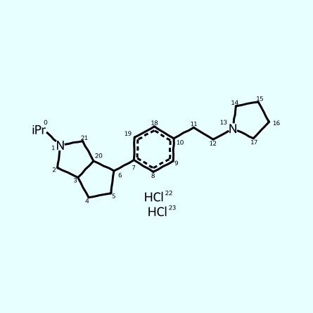 CC(C)N1CC2CCC(c3ccc(CCN4CCCC4)cc3)C2C1.Cl.Cl